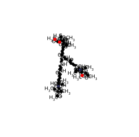 CC(=O)N/C(=C(/OC(C)=O)[C@H](CCOC(C)=O)OC(C)=O)[C@@H](O)OCCCCC(=O)NCCCNCCCN(CCCNC(=O)CCCCO[C@H](O)/C(NC(C)=O)=C(\OC(C)=O)[C@H](CCOC(C)=O)OC(C)=O)C(=O)CCCCO[C@@H]1OC(COC(C)=O)[C@H](OC(C)=O)C(OC(C)=O)C1NC(C)=O